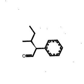 CCC(C)[C@H](C=O)c1ccccc1